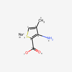 Cc1csc(C(=O)[O-])c1N.[Na+]